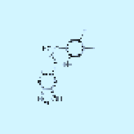 O=C(Nc1cc(F)c(F)cc1C(=O)O)c1cc2[nH]cnc2cn1